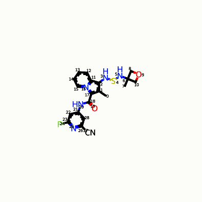 Cc1c(NSNC2(C)COC2)c2ccccn2c1C(=O)Nc1cc(F)nc(C#N)c1